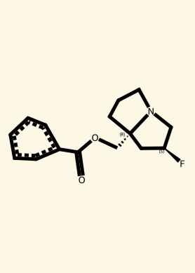 O=C(OC[C@]12CCCN1C[C@@H](F)C2)c1ccccc1